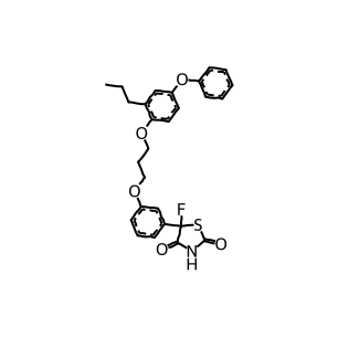 CCCc1cc(Oc2ccccc2)ccc1OCCCOc1cccc(C2(F)SC(=O)NC2=O)c1